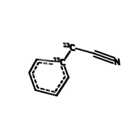 N#C[13CH2][13c]1ccccc1